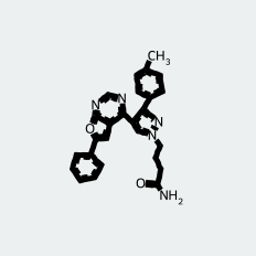 Cc1ccc(-c2nn(CCCC(N)=O)cc2-c2ncnc3oc(-c4ccccc4)cc23)cc1